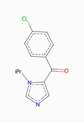 CC(C)n1cncc1C(=O)c1ccc(Cl)cc1